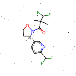 CC(C)(C(=O)N1OCC[C@H]1c1ccc(C(F)F)nc1)C(F)F